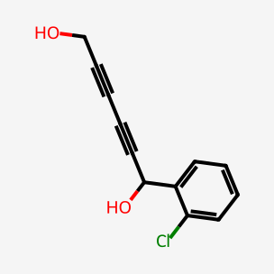 OCC#CC#CC(O)c1ccccc1Cl